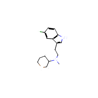 CN(CCc1c[nH]c2ccc(F)cc12)C1CCCSC1